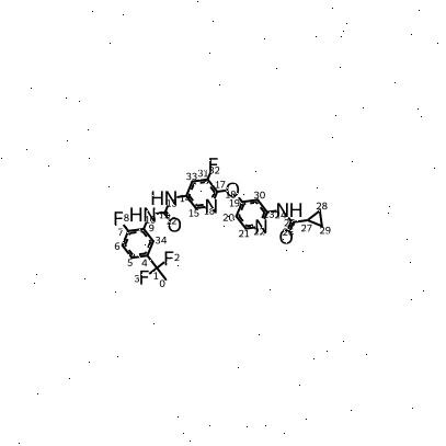 CC(F)(F)c1ccc(F)c(NC(=O)Nc2cnc(Oc3ccnc(NC(=O)C4CC4)c3)c(F)c2)c1